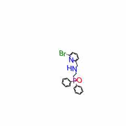 O=P(CCNCc1cccc(Br)n1)(c1ccccc1)c1ccccc1